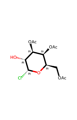 CC(=O)OC[C@H]1O[C@H](Cl)[C@H](O)[C@@H](OC(C)=O)[C@H]1OC(C)=O